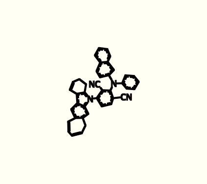 N#Cc1ccc(-n2c3c(c4cc5c(cc42)CC=CC=C5)C=CCC3)c(C#N)c1N(c1ccccc1)c1ccc2ccccc2c1